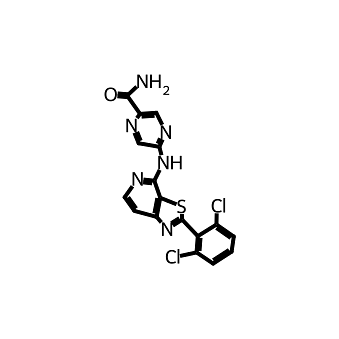 NC(=O)c1cnc(Nc2nccc3nc(-c4c(Cl)cccc4Cl)sc23)cn1